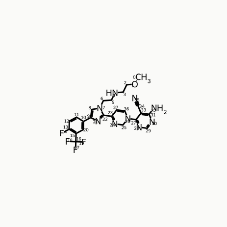 COCCNCCn1cc(-c2ccc(F)c(C(F)(F)F)c2)nc1C1=NCN(c2ncnc(N)c2C#N)C=C1